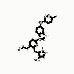 Cc1ccc(Nc2ccc3c(c2)ncn3-c2ccc(CCO)c(Cc3[nH]ncc3C#N)n2)nn1